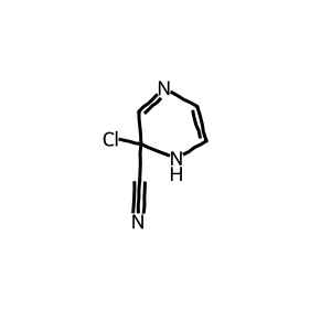 N#CC1(Cl)C=NC=CN1